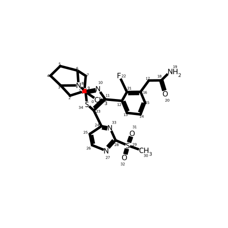 CN1CC2CCC(C1)N2c1nc(-c2cccc(CC(N)=O)c2F)c(-c2ccnc(S(C)(=O)=O)n2)s1